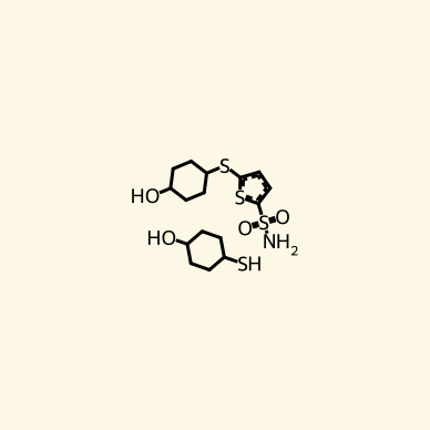 NS(=O)(=O)c1ccc(SC2CCC(O)CC2)s1.OC1CCC(S)CC1